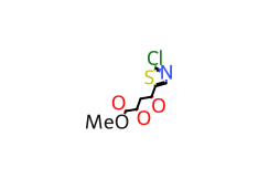 COC(=O)C(=O)CC(=O)c1cnc(Cl)s1